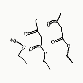 CCOC(=O)CC(C)=O.CCOC(=O)CC(C)=O.CC[O][Al]